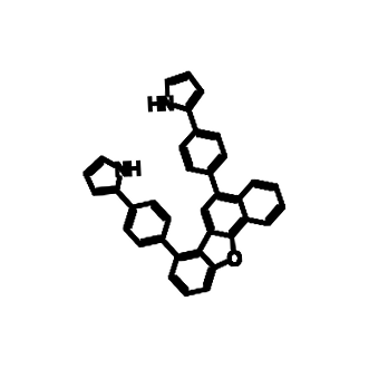 c1c[nH]c(-c2ccc(-c3cc4c(oc5cccc(-c6ccc(-c7ccc[nH]7)cc6)c54)c4ccccc34)cc2)c1